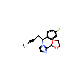 CC#CCC(c1ccc(F)cc1)n1ccnc1C1OCCO1